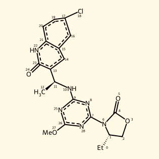 CC[C@H]1COC(=O)N1c1nc(N[C@@H](C)c2cc3cc(Cl)ccc3[nH]c2=O)nc(OC)n1